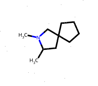 CC1CC2(CCCC2)CN1C